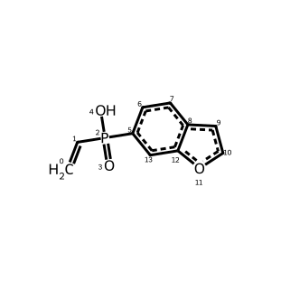 C=CP(=O)(O)c1ccc2ccoc2c1